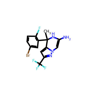 CC1(c2cc(Br)ccc2F)NC(N)=Cn2nc(C(F)(F)F)cc21